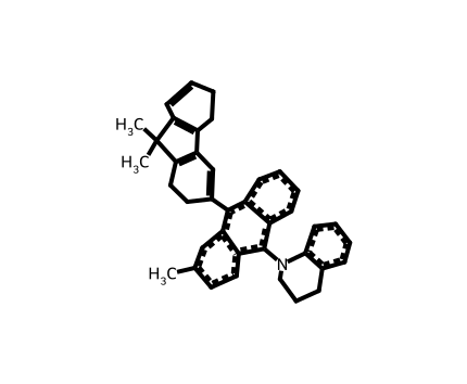 Cc1ccc2c(N3CCCc4ccccc43)c3ccccc3c(C3=CC4=C(CC3)C(C)(C)C3=C4CCC=C3)c2c1